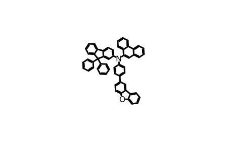 c1ccc(C2(c3ccccc3)c3ccccc3-c3ccc(N(c4ccc(-c5ccc6oc7ccccc7c6c5)cc4)c4cc5ccccc5c5ccccc45)cc32)cc1